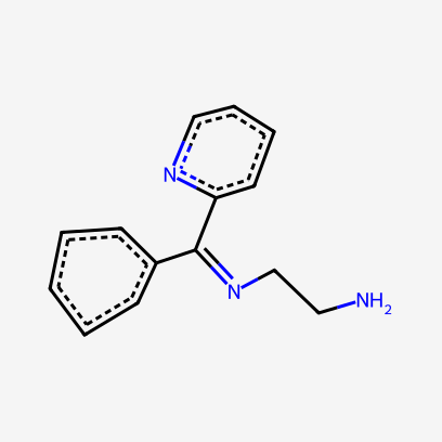 NCC/N=C(/c1ccccc1)c1ccccn1